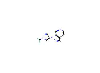 FC(F)n1cc(-n2nc(Br)c3ccncc32)cn1